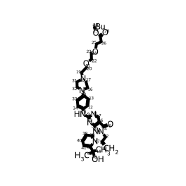 C=CCn1c(=O)c2cnc(Nc3ccc(N4CCN(CCOCCOCCC(=O)OC(C)(C)C)CC4)cc3)nc2n1-c1cccc(C(C)(C)O)n1